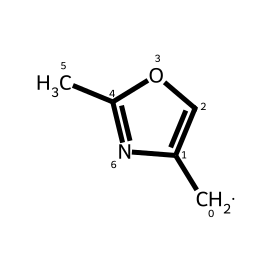 [CH2]c1coc(C)n1